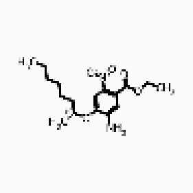 CCCCCC[C@@H](C)Oc1cc([N+](=O)[O-])c(C(=O)OCC)cc1N